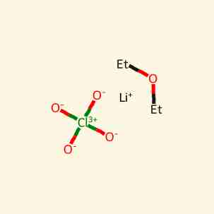 CCOCC.[Li+].[O-][Cl+3]([O-])([O-])[O-]